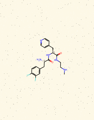 CNCCNC(=O)[C@H](Cc1ccncc1)NC(=O)[C@@H](N)Cc1ccc(F)c(F)c1